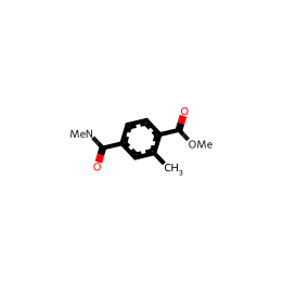 CNC(=O)c1ccc(C(=O)OC)c(C)c1